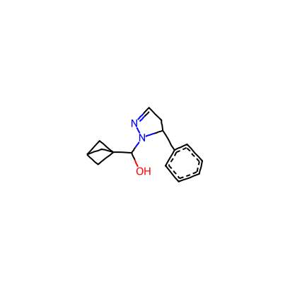 OC(N1N=CCC1c1ccccc1)C12CC(C1)C2